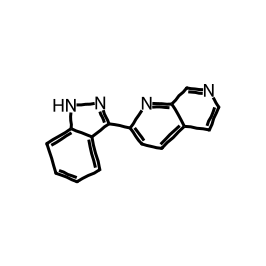 c1ccc2c(-c3ccc4ccncc4n3)n[nH]c2c1